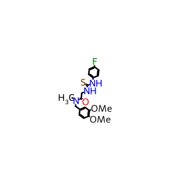 COc1ccc(CN(C)C(=O)CNC(=S)Nc2ccc(F)cc2)cc1OC